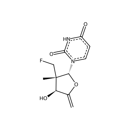 C=C1O[C@@H](n2ccc(=O)[nH]c2=O)[C@@](C)(CF)[C@@H]1O